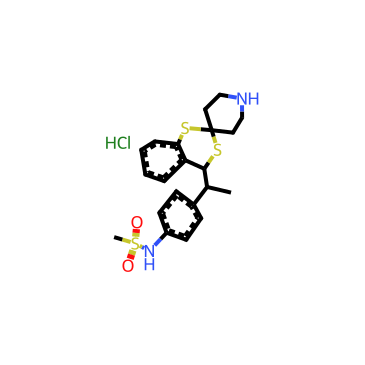 CC(c1ccc(NS(C)(=O)=O)cc1)C1SC2(CCNCC2)Sc2ccccc21.Cl